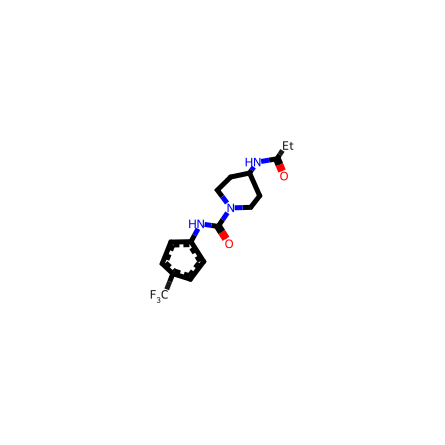 CCC(=O)NC1CCN(C(=O)Nc2ccc(C(F)(F)F)cc2)CC1